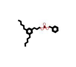 CCCCCc1cc(CCCCC)cc(CCCOC(=O)OCc2ccccc2)c1